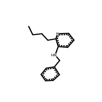 CCCCc1ncccc1NCc1ccccc1